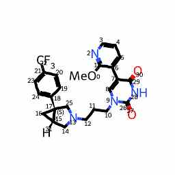 COc1ncccc1-c1cn(CCCN2C[C@@H]3C[C@]3(c3ccc(C(F)(F)F)cc3)C2)c(=O)[nH]c1=O